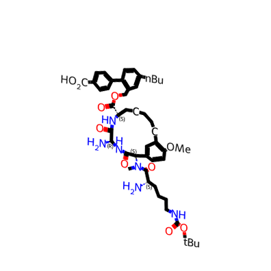 CCCCc1ccc(-c2ccc(C(=O)O)cc2)c(COC(=O)[C@@H]2CCCCCc3cc(ccc3OC)[C@H](N(C)C(=O)[C@@H](N)CCCCNC(=O)OC(C)(C)C)C(=O)N[C@@H](N)C(=O)N2)c1